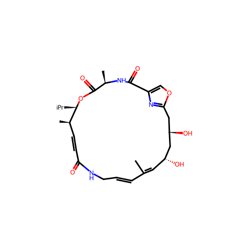 CC1=C\[C@@H](O)C[C@H](O)Cc2nc(co2)C(=O)N[C@H](C)C(=O)O[C@H](C(C)C)[C@H](C)/C=C/C(=O)NC\C=C\1